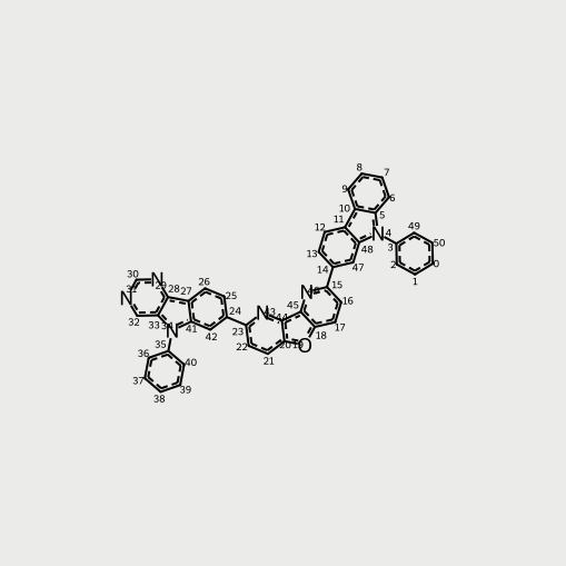 c1ccc(-n2c3ccccc3c3ccc(-c4ccc5oc6ccc(-c7ccc8c9ncncc9n(-c9ccccc9)c8c7)nc6c5n4)cc32)cc1